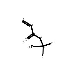 C=CC(=O)CC(F)(F)F